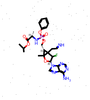 CC(C)OC(=O)[C@H](C)NP(=O)(OC[C@H]1C2(C)O[C@@H](n3cnc4c(N)ncnc43)C(F)C12CC=N)Oc1ccccc1